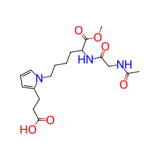 COC(=O)C(CCCCn1cccc1CCC(=O)O)NC(=O)CNC(C)=O